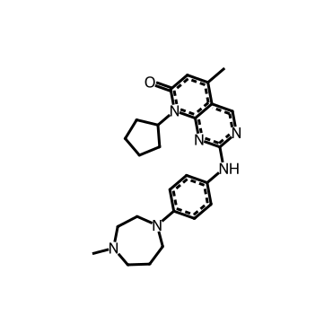 Cc1cc(=O)n(C2CCCC2)c2nc(Nc3ccc(N4CCCN(C)CC4)cc3)ncc12